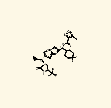 Cc1nonc1C(=O)N[C@H](c1cn2ncc([C@@H](C3CC3)N3CC(C(F)(F)F)NC3=O)cc2n1)C1CCC(F)(F)CC1